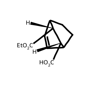 CCOC(=O)[C@@H]1C2C=CC(CC2)[C@@H]1C(=O)O